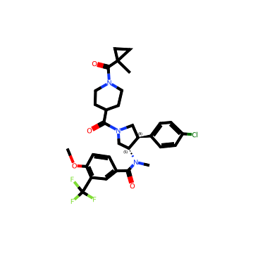 COc1ccc(C(=O)N(C)[C@@H]2CN(C(=O)C3CCN(C(=O)C4(C)CC4)CC3)C[C@H]2c2ccc(Cl)cc2)cc1C(F)(F)F